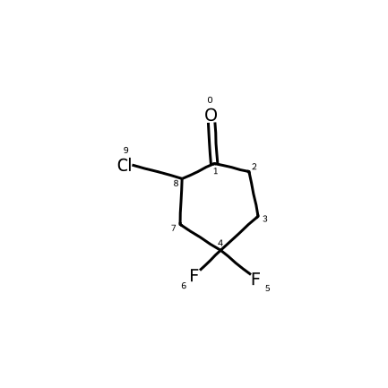 O=C1CCC(F)(F)CC1Cl